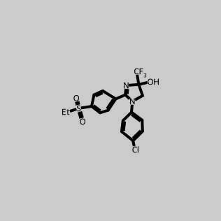 CCS(=O)(=O)c1ccc(C2=NC(O)(C(F)(F)F)CN2c2ccc(Cl)cc2)cc1